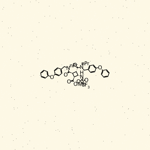 CCCN(Cc1ccc(Oc2ccccc2)cc1)C(=O)[C@@H]1[C@H](C(=O)OC)[C@@H](NS(=O)(=O)C(F)(F)F)[C@H]1C(=O)N(CCC)Cc1ccc(Oc2ccccc2)cc1